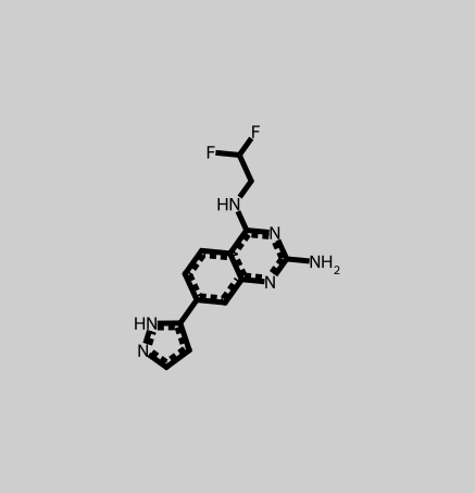 Nc1nc(NCC(F)F)c2ccc(-c3ccn[nH]3)cc2n1